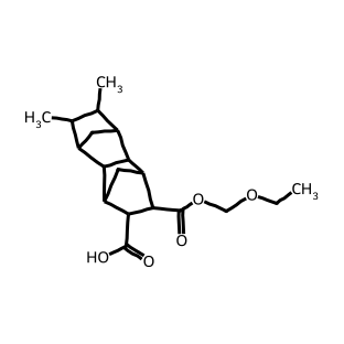 CCOCOC(=O)C1C2CC(C1C(=O)O)C1C3CC(C(C)C3C)C21